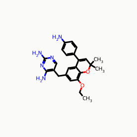 CCOc1cc(Cc2cnc(N)nc2N)cc2c1OC(C)(C)C=C2c1ccc(N)cc1